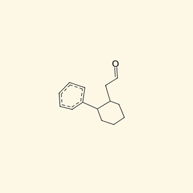 O=CCC1CCCCC1c1ccccc1